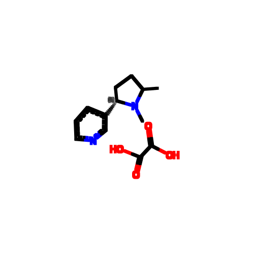 CC1CC[C@@H](c2cccnc2)N1C.O=C(O)C(=O)O